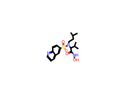 CC(C)CCN(C(C(=O)NO)C(C)C)S(=O)(=O)c1ccc2ncccc2c1